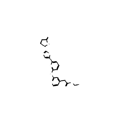 CCOC(=O)Cc1ccnc(Nc2cccc(-c3cnc([C@@H]4CCC(=O)N4)s3)n2)c1